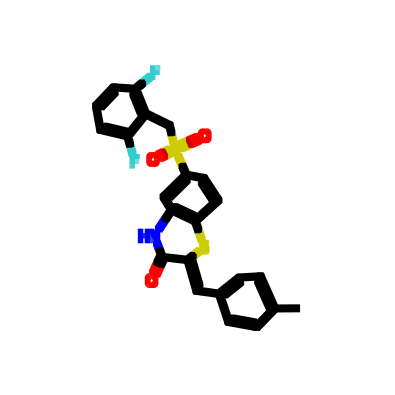 Cc1ccc(/C=C2\Sc3ccc(S(=O)(=O)Cc4c(F)cccc4F)cc3NC2=O)cc1